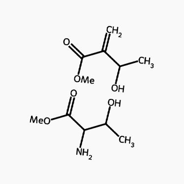 C=C(C(=O)OC)C(C)O.COC(=O)C(N)C(C)O